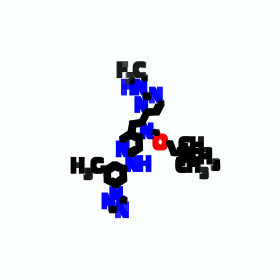 Cc1cc(Nc2cc3c(cn2)cc(-c2ccnc(NCC(F)(F)F)n2)n3COCC[Si](C)(C)C)cc(-n2cncn2)c1